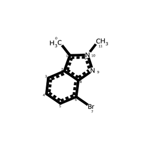 Cc1c2cccc(Br)c2nn1C